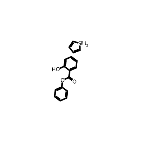 C1=C[SiH2]C=C1.O=C(Oc1ccccc1)c1ccccc1O